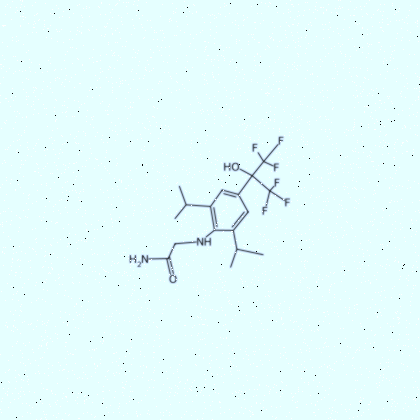 CC(C)c1cc(C(O)(C(F)(F)F)C(F)(F)F)cc(C(C)C)c1NCC(N)=O